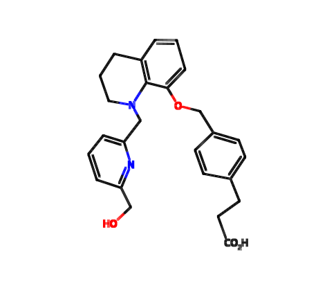 O=C(O)CCc1ccc(COc2cccc3c2N(Cc2cccc(CO)n2)CCC3)cc1